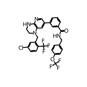 O=C(NCc1ccc(OC(F)(F)F)cc1)c1cccc(-c2cnc3c(c2)N(Cc2cc(Cl)ccc2C(F)(F)F)CCN3)c1